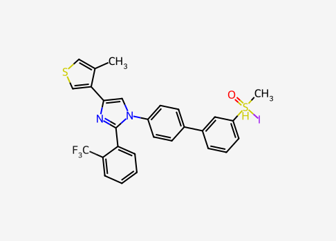 Cc1cscc1-c1cn(-c2ccc(-c3cccc([SH](C)(=O)I)c3)cc2)c(-c2ccccc2C(F)(F)F)n1